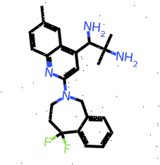 Cc1ccc2nc(N3CCC(F)(F)c4ccccc4C3)cc(C(N)C(C)(C)N)c2c1